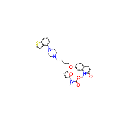 CN(C(=O)OCn1c(=O)ccc2ccc(OCCCCN3CCN(c4cccc5sccc45)CC3)cc21)c1ccco1